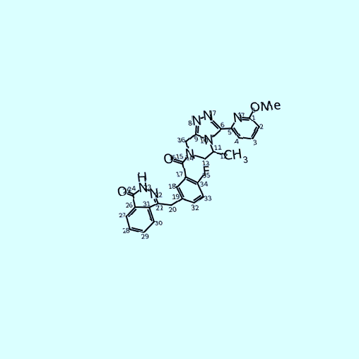 COc1cccc(-c2nnc3n2C(C)CN(C(=O)c2cc(Cc4n[nH]c(=O)c5ccccc45)ccc2F)C3)n1